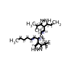 C=CC1NN=C(C(C)C)C1/C=C/N=C(\C=C\CCCC)c1c[nH]nc1C(F)(F)F